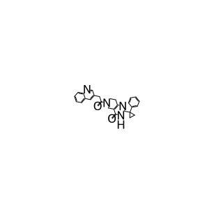 O=C(Cc1cnc2ccccc2c1)N1CCc2nc(C3(c4ccccc4)CC3)[nH]c(=O)c2C1